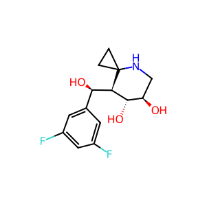 O[C@@H]1[C@@H]([C@H](O)c2cc(F)cc(F)c2)C2(CC2)NC[C@H]1O